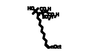 CCCCCCCC/C=C\CCCCCCCCN(C(C)(C)O)C(CC(=O)O)(C(=O)O)S(=O)(=O)O